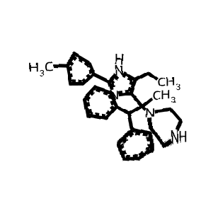 CCc1[nH]c(-c2ccc(C)cc2)nc1C(C)(C(c1ccccc1)c1ccccc1)N1CCNCC1